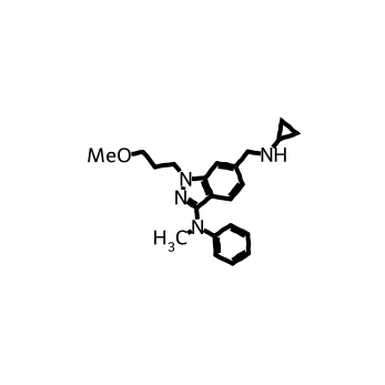 COCCCn1nc(N(C)c2ccccc2)c2ccc(CNC3CC3)cc21